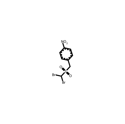 O=[N+]([O-])c1ccc(CS(=O)(=O)C(Br)Br)cc1